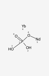 O=P(O)(O)[O][Nd].[Yb]